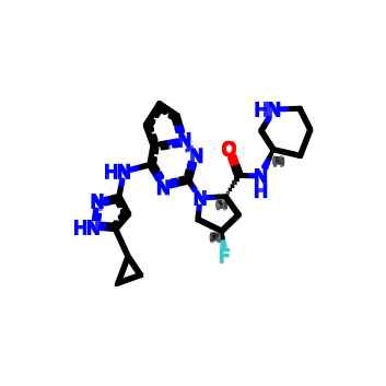 O=C(N[C@@H]1CCCNC1)[C@@H]1C[C@@H](F)CN1c1nc(Nc2cc(C3CC3)[nH]n2)c2cccn2n1